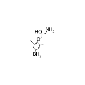 Bc1cc(C)c(OCC(O)CN)c(C)c1